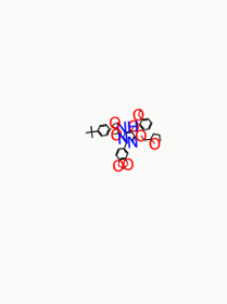 COc1ccccc1Oc1c(NS(=O)(=O)c2ccc(C(C)(C)C)cc2)nc(-c2ccc3c(c2)OCO3)nc1OCC1CCCO1